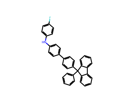 Fc1ccc(Nc2ccc(-c3ccc(C4(c5ccccc5)c5ccccc5-c5ccccc54)cc3)cc2)cc1